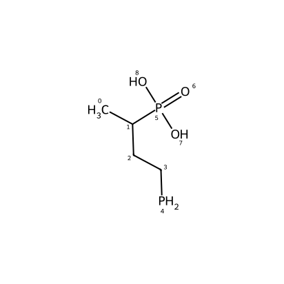 CC(CCP)P(=O)(O)O